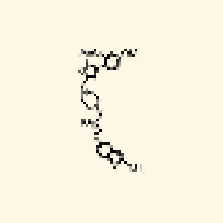 COc1ccc(-c2cc(CN3CCN(C[C@@H](O)COc4ccc5sc(C)nc5c4)CC3)on2)c(OC)c1